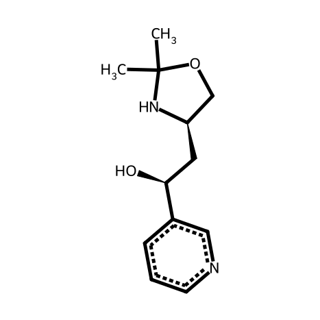 CC1(C)N[C@H](C[C@H](O)c2cccnc2)CO1